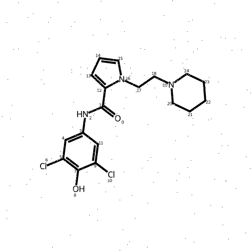 O=C(Nc1cc(Cl)c(O)c(Cl)c1)c1cccn1CCN1CCCCC1